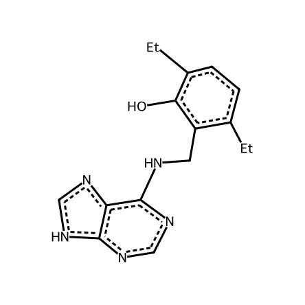 CCc1ccc(CC)c(CNc2ncnc3[nH]cnc23)c1O